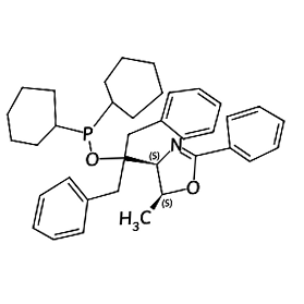 C[C@@H]1OC(c2ccccc2)=N[C@@H]1C(Cc1ccccc1)(Cc1ccccc1)OP(C1CCCCC1)C1CCCCC1